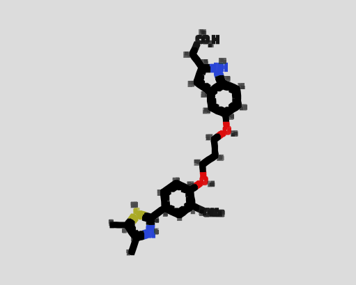 COc1cc(-c2nc(C)c(C)s2)ccc1OCCCOc1ccc2[nH]c(CC(=O)O)cc2c1